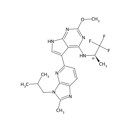 COc1nc(N[C@H](C)C(F)(F)F)c2c(-c3ccc4nc(C)n(CC(C)C)c4n3)c[nH]c2n1